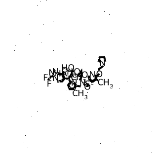 Cc1ccc(C(c2ccn3c(C(F)F)nnc3c2C)C(C)(C)C(=O)O)nc1CN1CC2(CC2)Oc2nc(OCCN3CCCC3)c(C)cc2[S+]1[O-]